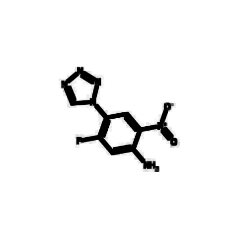 Nc1cc(F)c(-n2cnnn2)cc1[N+](=O)[O-]